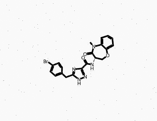 CN1C(=O)[C@@H](NC(=O)c2n[nH]c(Cc3ccc(Br)cc3)n2)COc2ccccc21